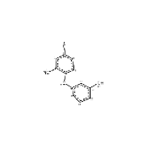 N#Cc1cc(F)[c]cc1Oc1cccc(O)c1